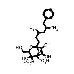 CC(CCC12OC(CO)C(O)(C(=O)O)C(C(=O)O)(O1)C(O)C2O)CC(C)Cc1ccccc1